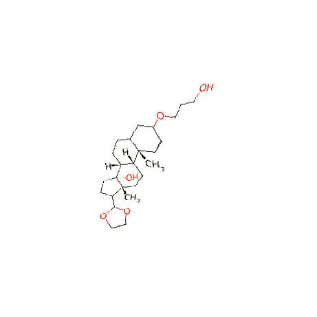 C[C@]12CCC(OCCCO)CC1CC[C@@H]1[C@H]2CC[C@]2(C)C(C3OCCO3)CC[C@@]12O